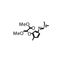 CO/C=C(\Oc1cc(/N=C/N(C)C)ccc1C)C(=O)OC